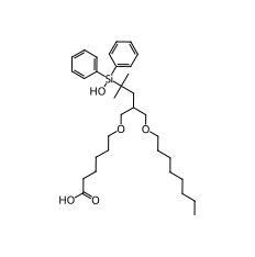 CCCCCCCCOCC(COCCCCCC(=O)O)CC(C)(C)[Si](O)(c1ccccc1)c1ccccc1